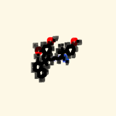 C=C(/C=C/C=C1/N(C)c2ccc(OC)cc2C1(C)C)C(C)(Cc1ccc(OC)cc1OC)c1c(C)ccc2ccccc12